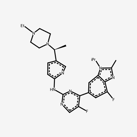 CCN1CCN([C@@H](C)c2ccc(Nc3ncc(F)c(-c4cc(F)c5nc(C)n(C(C)C)c5c4)n3)nc2)CC1